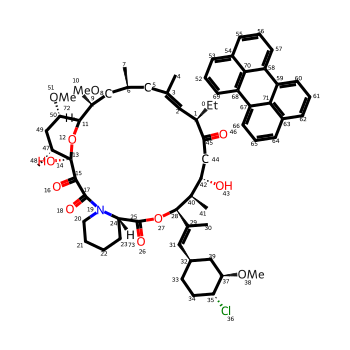 CC[C@@H]1/C=C(\C)C[C@H](C)C[C@H](OC)[C@H]2O[C@@](O)(C(=O)C(=O)N3CCCC[C@H]3C(=O)O[C@H](/C(C)=C/[C@@H]3CC[C@@H](Cl)[C@H](OC)C3)[C@H](C)[C@@H](O)CC1=O)[C@H](C)C[C@@H]2OC.c1cc2cccc3c4cccc5cccc(c(c1)c23)c54